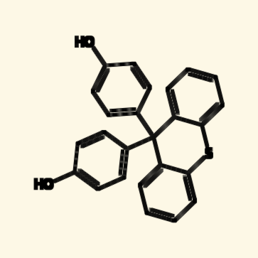 Oc1ccc(C2(c3ccc(O)cc3)c3ccccc3Sc3ccccc32)cc1